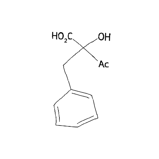 CC(=O)C(O)(Cc1ccccc1)C(=O)O